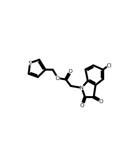 O=C(CN1C(=O)C(=O)c2cc(Cl)ccc21)OCc1ccsc1